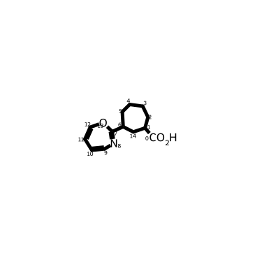 O=C(O)C1CCCCC(C2=NC=CC=CO2)C1